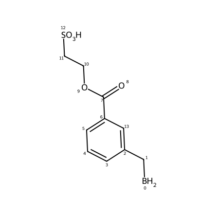 BCc1cccc(C(=O)OCCS(=O)(=O)O)c1